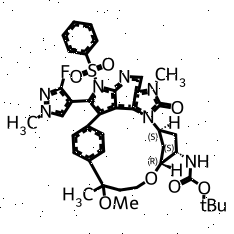 COC1(C)CCO[C@@H]2C[C@H](C[C@@H]2NC(=O)OC(C)(C)C)n2c(=O)n(C)c3cnc4c(c(c(-c5cn(C)nc5F)n4S(=O)(=O)c4ccccc4)-c4ccc1cc4)c32